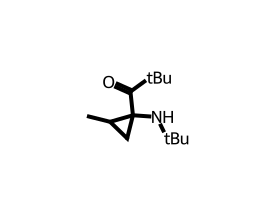 CC1CC1(NC(C)(C)C)C(=O)C(C)(C)C